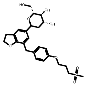 CS(=O)(=O)CCCOc1ccc(Cc2cc(C3C[C@@H](O)[C@H](O)[C@@H](CO)O3)cc3c2OCC3)cc1